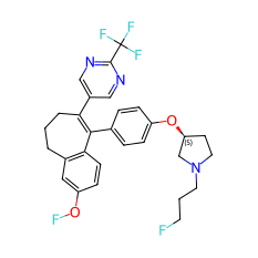 FCCCN1CC[C@H](Oc2ccc(C3=C(c4cnc(C(F)(F)F)nc4)CCCc4cc(OF)ccc43)cc2)C1